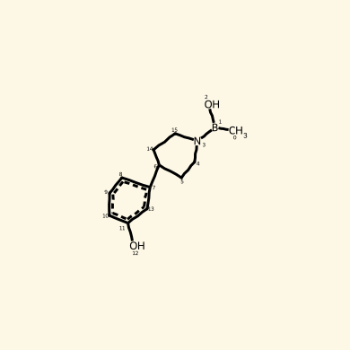 CB(O)N1CCC(c2cccc(O)c2)CC1